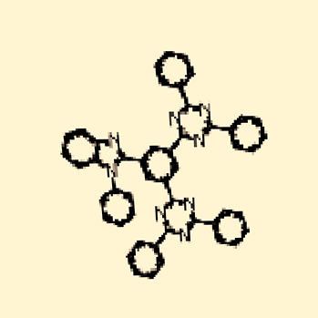 c1ccc(-c2nc(-c3ccccc3)nc(-c3cc(-c4nc(-c5ccccc5)nc(-c5ccccc5)n4)cc(-c4nc5ccccc5n4-c4ccccc4)c3)n2)cc1